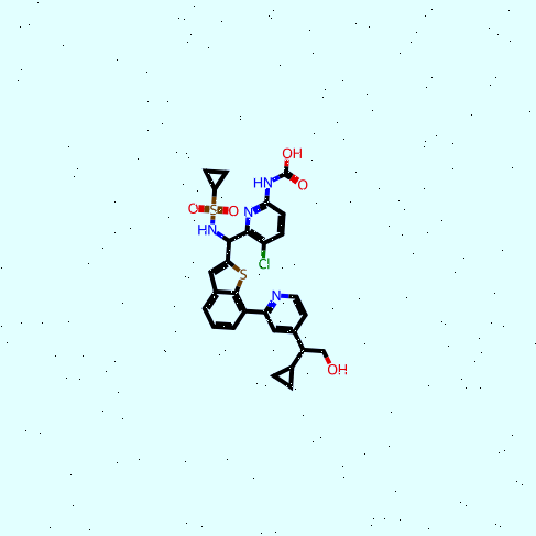 O=C(O)Nc1ccc(Cl)c(C(NS(=O)(=O)C2CC2)c2cc3cccc(-c4cc(C(CO)C5CC5)ccn4)c3s2)n1